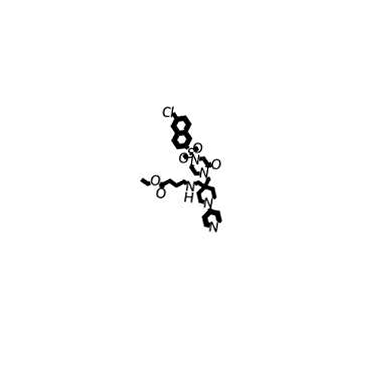 CCOC(=O)CCCNCC1(CN2CCN(S(=O)(=O)c3ccc4cc(Cl)ccc4c3)CC2=O)CCN(c2ccncc2)CC1